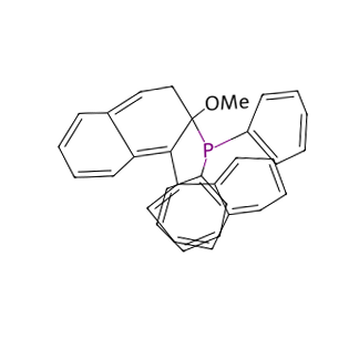 COC1(P(c2ccccc2)c2ccccc2)CC=c2ccccc2=C1c1cccc2ccccc12